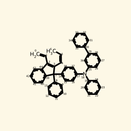 C=CC1=C(/C=C\C)C(c2ccccc2)(c2ccc(N(c3ccccc3)c3cccc(-c4ccccc4)c3)cc2)c2ccccc21